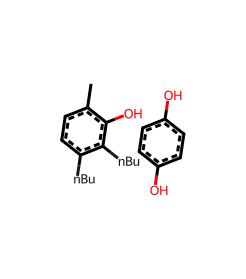 CCCCc1ccc(C)c(O)c1CCCC.Oc1ccc(O)cc1